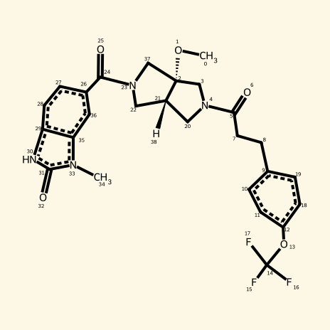 CO[C@]12CN(C(=O)CCc3ccc(OC(F)(F)F)cc3)C[C@@H]1CN(C(=O)c1ccc3[nH]c(=O)n(C)c3c1)C2